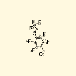 O=Cc1c(F)c(F)c(OCC(F)(F)F)c(F)c1F